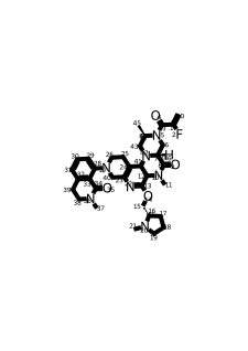 C=C(F)C(=O)N1C[C@@H]2C(=O)N(C)C3C(OC[C@@H]4CCCN4C)=NC4=C(CCN(c5cccc6c5C(=O)N(C)CC6)C4)C3N2C[C@H]1C